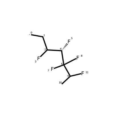 [CH2]CC(F)[C@H](F)C(F)(F)C(C)F